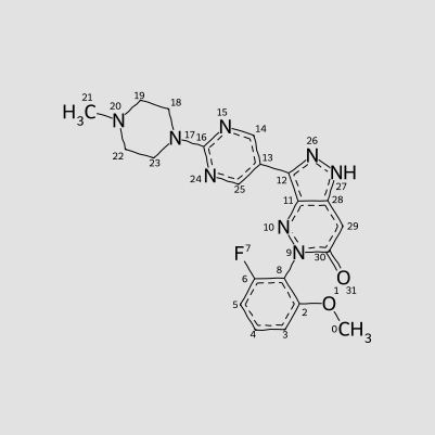 COc1cccc(F)c1-n1nc2c(-c3cnc(N4CCN(C)CC4)nc3)n[nH]c2cc1=O